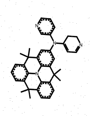 CC1(C)c2cccc3c2N2c4c1cccc4C(C)(C)c1cc(N(C4=CC=NCC4)c4cccnc4)cc(c12)C3(C)C